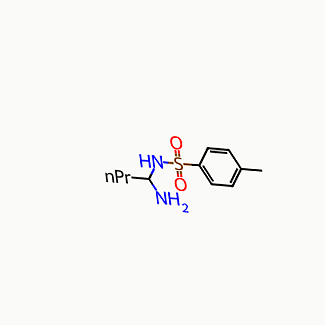 CCCC(N)NS(=O)(=O)c1ccc(C)cc1